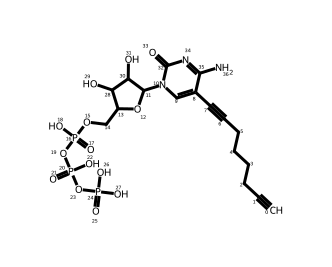 C#CCCCCC#Cc1cn(C2OC(COP(=O)(O)OP(=O)(O)OP(=O)(O)O)C(O)C2O)c(=O)nc1N